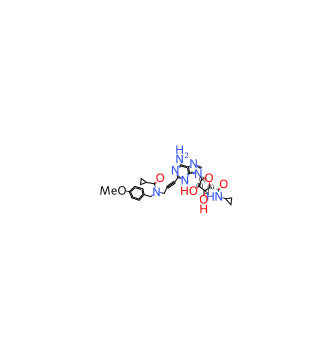 COc1ccc(CN(CC#Cc2nc(N)c3ncn([C@@H]4O[C@H](C(=O)NC5CC5)[C@@H](O)[C@H]4O)c3n2)C(=O)C2CC2)cc1